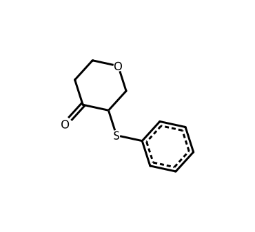 O=C1CCOCC1Sc1ccccc1